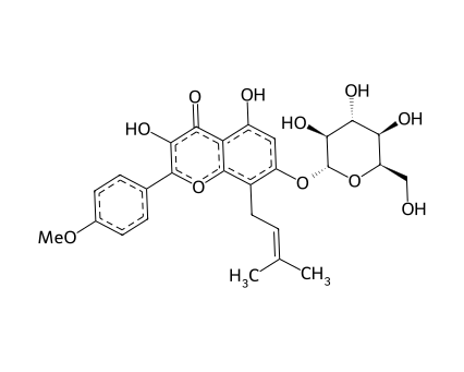 COc1ccc(-c2oc3c(CC=C(C)C)c(O[C@H]4O[C@H](CO)[C@H](O)[C@@H](O)[C@@H]4O)cc(O)c3c(=O)c2O)cc1